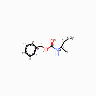 [CH2]C(CC(C)C)NC(=O)OCc1ccccc1